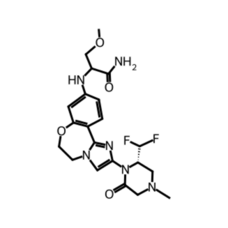 COCC(Nc1ccc2c(c1)OCCn1cc(N3C(=O)CN(C)C[C@H]3C(F)F)nc1-2)C(N)=O